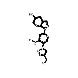 CC(=O)Cc1cn(-c2cnc(-n3ncc4cc(C#N)cnc43)cc2NC(C)C)nn1